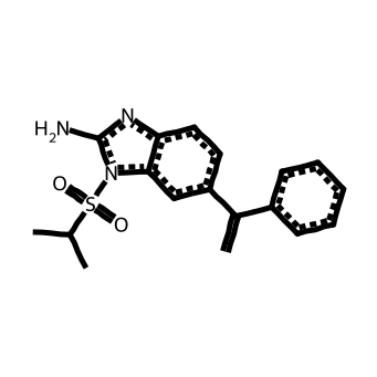 C=C(c1ccccc1)c1ccc2nc(N)n(S(=O)(=O)C(C)C)c2c1